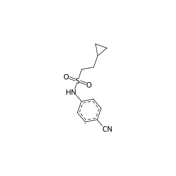 N#Cc1[c]cc(NS(=O)(=O)CCC2CC2)cc1